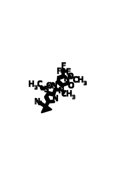 CC[S@+]([O-])c1cc(C2(C#N)CC2)cnc1-c1nc2cc(C(F)(F)F)n(OC)c(=O)c2n1C